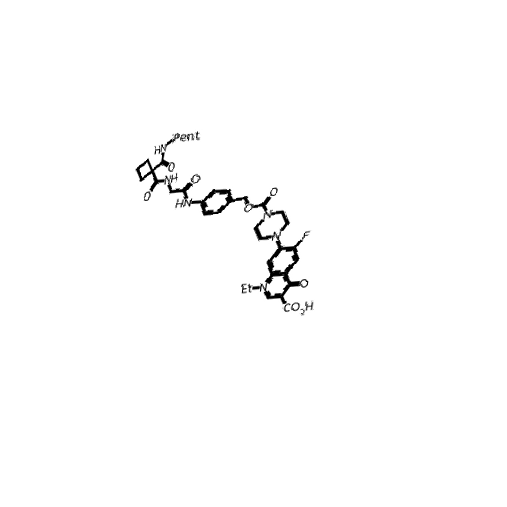 CCCC(C)NC(=O)C1(C(=O)NCC(=O)Nc2ccc(COC(=O)N3CCN(c4cc5c(cc4F)c(=O)c(C(=O)O)cn5CC)CC3)cc2)CCC1